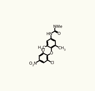 CNC(=O)Nc1cc(C)c(Oc2c(Cl)cc([N+](=O)[O-])cc2Cl)c(C)c1